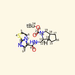 Cc1nc2sccn2c1C(=O)NCC1[C@H]2CCCC2CN1C(=O)OC(C)(C)C